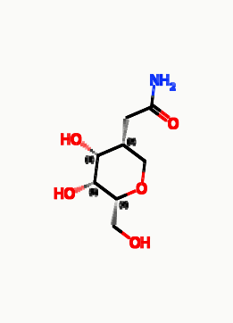 NC(=O)C[C@@H]1CO[C@H](CO)[C@H](O)[C@@H]1O